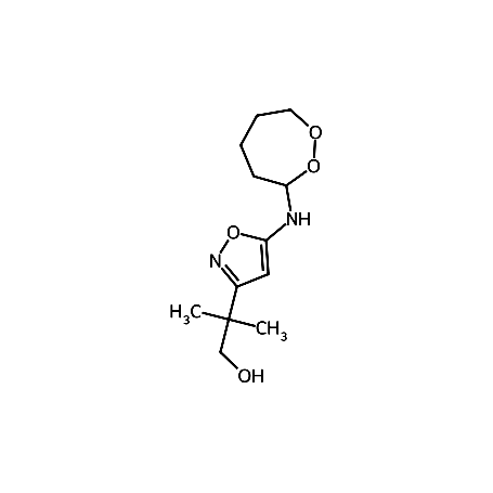 CC(C)(CO)c1cc(NC2CCCCOO2)on1